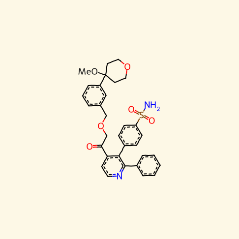 COC1(c2cccc(COCC(=O)c3ccnc(-c4ccccc4)c3-c3ccc(S(N)(=O)=O)cc3)c2)CCOCC1